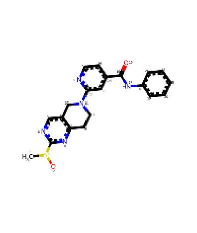 C[S+]([O-])c1ncc2c(n1)CCN(c1cc(C(=O)Nc3ccccc3)ccn1)C2